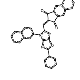 O=C1C(=Cc2cc3oc(-c4ccccc4)nc3n2-c2ccc3ccccc3c2)C(=O)c2cc3ccccc3cc21